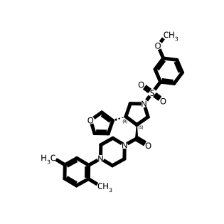 COc1cccc(S(=O)(=O)N2C[C@@H](C(=O)N3CCN(c4cc(C)ccc4C)CC3)[C@H](c3ccoc3)C2)c1